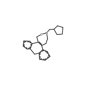 c1ccc2c(c1)Cc1ccccc1C1=C2CCN(CC2CCCC2)CC1